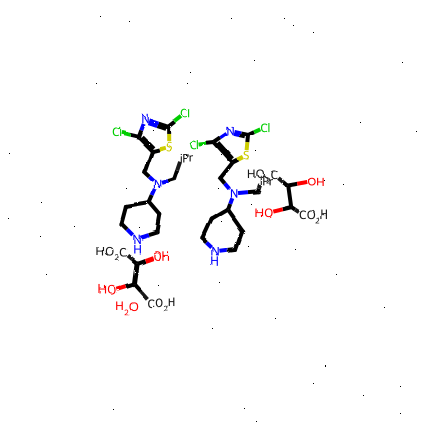 CC(C)CN(Cc1sc(Cl)nc1Cl)C1CCNCC1.CC(C)CN(Cc1sc(Cl)nc1Cl)C1CCNCC1.O.O=C(O)C(O)C(O)C(=O)O.O=C(O)C(O)C(O)C(=O)O